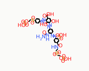 NC(=O)Nc1cc(N=Nc2c(O)cc(C(=O)O)c(N=Nc3ccc(S(=O)(=O)CCOS(=O)(=O)O)cc3)c2O)ccc1N=Nc1ccc(C(=O)NCCS(=O)(=O)CCOS(=O)(=O)O)cc1S(=O)(=O)O